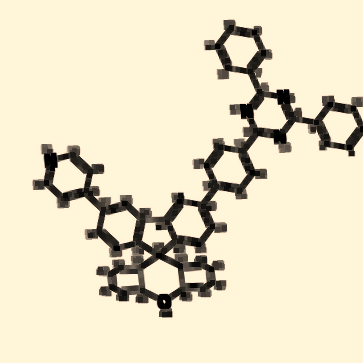 c1ccc(-c2nc(-c3ccccc3)nc(-c3ccc(-c4ccc5c(c4)-c4cc(-c6ccncc6)ccc4C54c5ccccc5Oc5ccccc54)cc3)n2)cc1